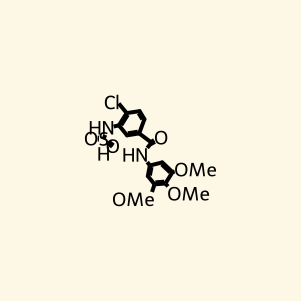 COc1cc(NC(=O)c2ccc(Cl)c(N[SH](=O)=O)c2)cc(OC)c1OC